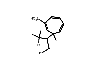 CCC(C)(C)C(CC(C)C)C1(C)C=CC=CC(S(=O)(=O)O)=C1